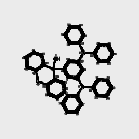 OC1(c2cc(N(c3ccccc3)c3ccccc3)cc(N(c3ccccc3)c3ccccc3)c2)c2ccccc2Oc2ccccc21